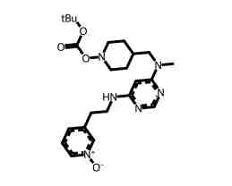 CN(CC1CCN(OC(=O)OC(C)(C)C)CC1)c1cc(NCCc2ccc[n+]([O-])c2)ncn1